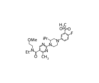 CCN(CCOC)C(=O)c1cnc(N2CCN(c3ccc(F)c(S(C)(=O)=O)c3)CC2C(C)C)nc1C